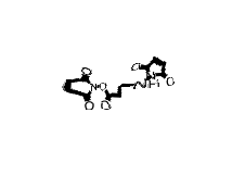 O=C(CCNN1C(=O)C=CC1=O)ON1C(=O)CCC1=O